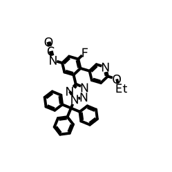 CCOc1ccc(-c2c(F)cc(N=C=O)cc2-c2nnn(C(c3ccccc3)(c3ccccc3)c3ccccc3)n2)cn1